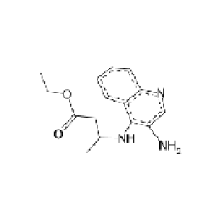 CCOC(=O)CC(C)Nc1c(N)cnc2ccccc12